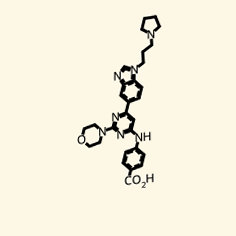 O=C(O)c1ccc(Nc2cc(-c3ccc4c(c3)ncn4CCCN3CCCC3)nc(N3CCOCC3)n2)cc1